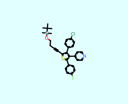 CC(C)(C)[Si](C)(C)OCCC#Cc1sc(-c2ccc(F)cc2)c(-c2ccncc2)c1-c1ccc(Cl)cc1